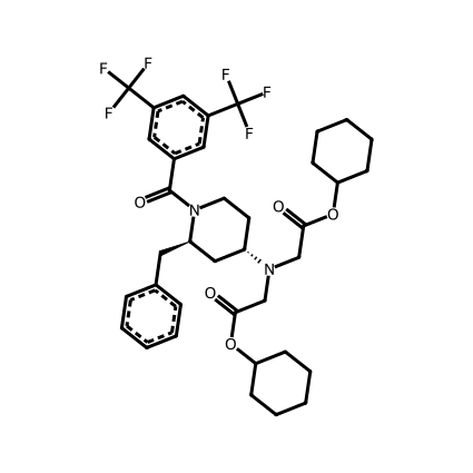 O=C(CN(CC(=O)OC1CCCCC1)[C@H]1CCN(C(=O)c2cc(C(F)(F)F)cc(C(F)(F)F)c2)[C@H](Cc2ccccc2)C1)OC1CCCCC1